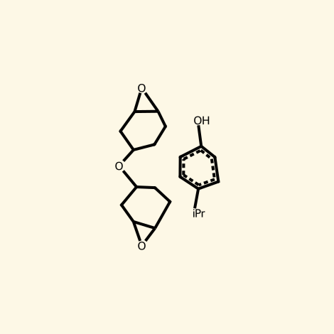 C1CC2OC2CC1OC1CCC2OC2C1.CC(C)c1ccc(O)cc1